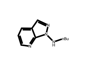 CCCCNn1ncc2cccnc21